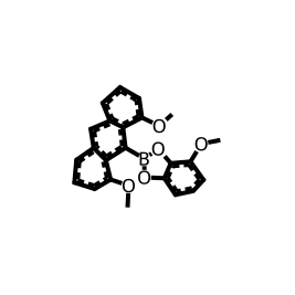 COc1cccc2c1OB(c1c3c(OC)cccc3cc3cccc(OC)c13)O2